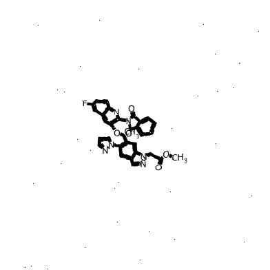 COC(=O)Cn1ncc2cc(-n3cccn3)c([C@H](C)Oc3cc4cc(F)ccc4nc3N3C(=O)c4ccccc4C3=O)cc21